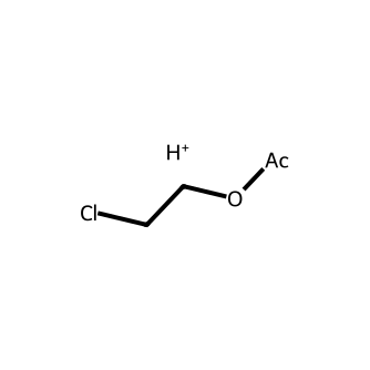 CC(=O)OCCCl.[H+]